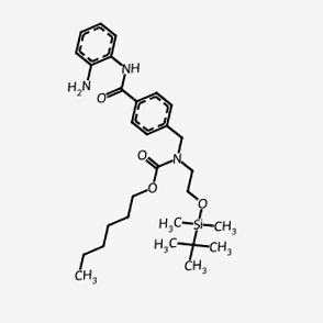 CCCCCCOC(=O)N(CCO[Si](C)(C)C(C)(C)C)Cc1ccc(C(=O)Nc2ccccc2N)cc1